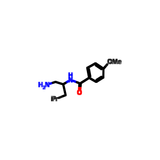 COc1ccc(C(=O)NC(CN)CC(C)C)cc1